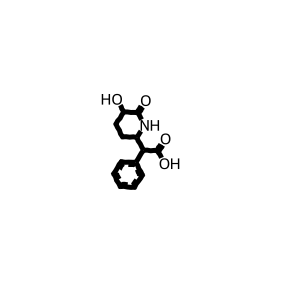 O=C1NC(C(C(=O)O)c2ccccc2)CCC1O